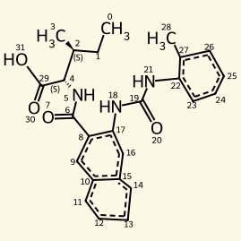 CC[C@H](C)[C@H](NC(=O)c1cc2ccccc2cc1NC(=O)Nc1ccccc1C)C(=O)O